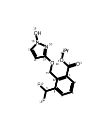 CC(C)OC(=O)c1cccc(C(F)F)c1COc1ccn(O)n1